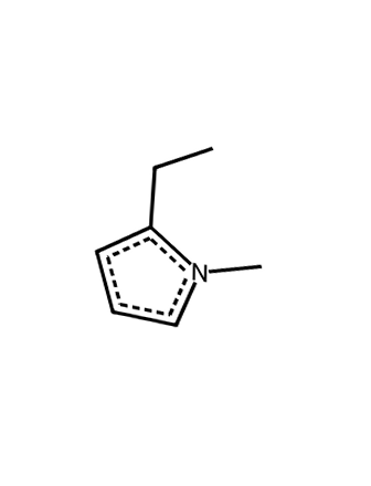 CCc1cccn1C